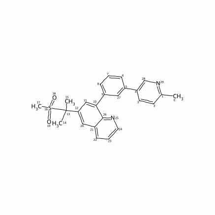 Cc1ccc(-c2cccc(-c3cc(C(C)(C)S(C)(=O)=O)cc4cccnc34)c2)cn1